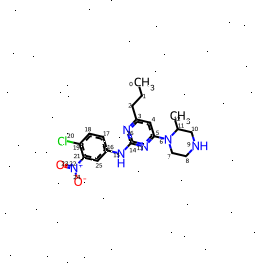 CCCc1cc(N2CCNCC2C)nc(Nc2ccc(Cl)c([N+](=O)[O-])c2)n1